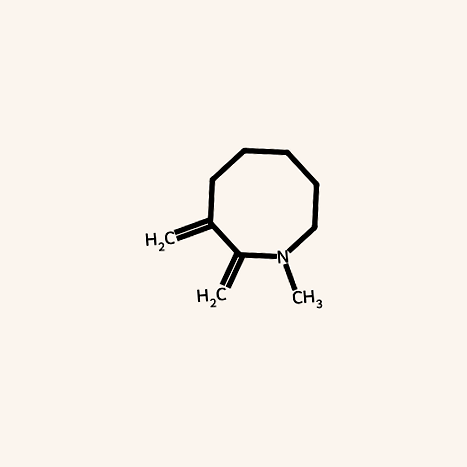 C=C1CCCCCN(C)C1=C